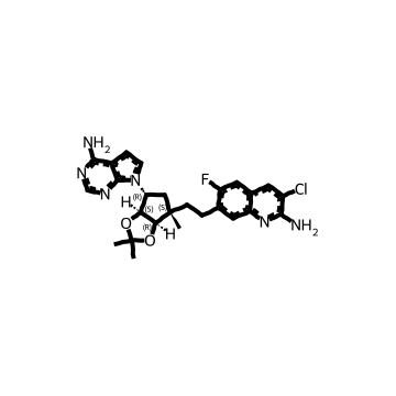 CC1(C)O[C@H]2[C@H](n3ccc4c(N)ncnc43)C[C@](C)(CCc3cc4nc(N)c(Cl)cc4cc3F)[C@H]2O1